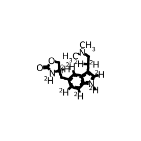 [2H]c1c(C[C@@]2([2H])COC(=O)N2[2H])c([2H])c2c(C([2H])([2H])CN(C)C)c([2H])n([2H])c2c1[2H]